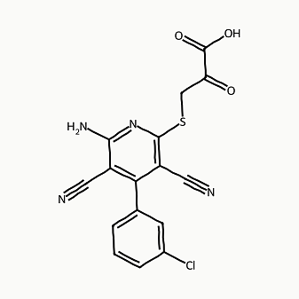 N#Cc1c(N)nc(SCC(=O)C(=O)O)c(C#N)c1-c1cccc(Cl)c1